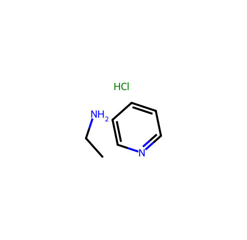 CCN.Cl.c1ccncc1